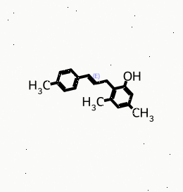 Cc1ccc(/C=C/Cc2c(C)cc(C)cc2O)cc1